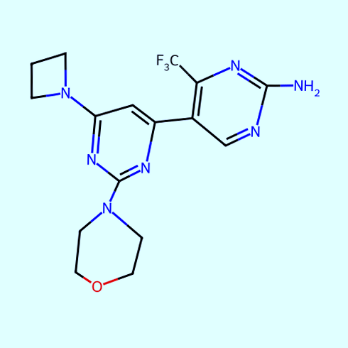 Nc1ncc(-c2cc(N3CCC3)nc(N3CCOCC3)n2)c(C(F)(F)F)n1